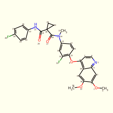 COc1cc2nccc(Oc3ccc(N(C)C(=O)C4(C(=O)Nc5ccc(F)cc5)CC4)cc3F)c2cc1OC